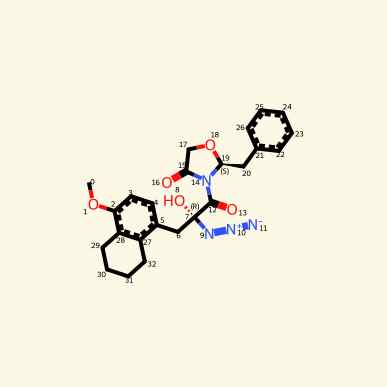 COc1ccc(C[C@](O)(N=[N+]=[N-])C(=O)N2C(=O)CO[C@H]2Cc2ccccc2)c2c1CCCC2